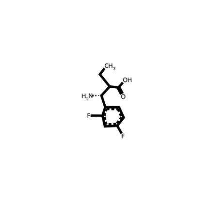 CCC(C(=O)O)[C@@H](N)c1ccc(F)cc1F